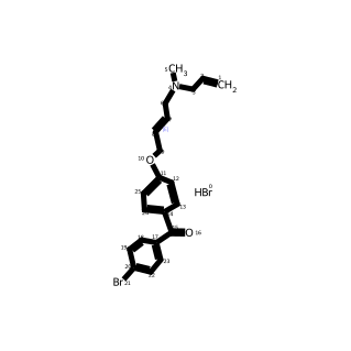 Br.C=CCN(C)C/C=C/COc1ccc(C(=O)c2ccc(Br)cc2)cc1